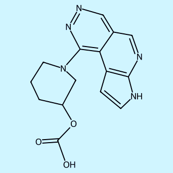 O=C(O)OC1CCCN(c2nncc3cnc4[nH]ccc4c23)C1